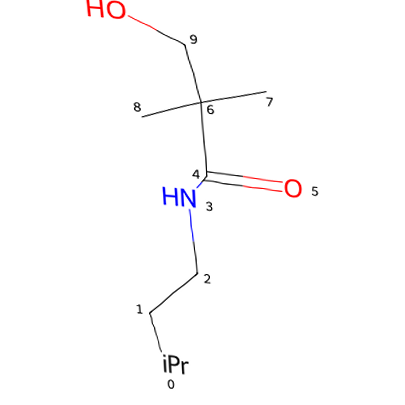 CC(C)CCNC(=O)C(C)(C)CO